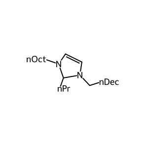 CCCCCCCCCCCN1C=CN(CCCCCCCC)C1CCC